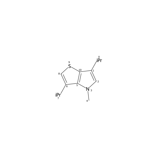 CC(C)c1cn(C)c2c(C(C)C)csc12